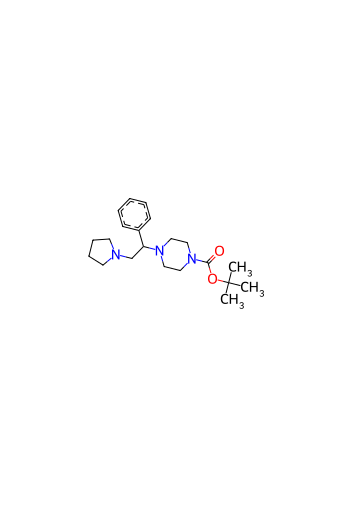 CC(C)(C)OC(=O)N1CCN(C(CN2CCCC2)c2ccccc2)CC1